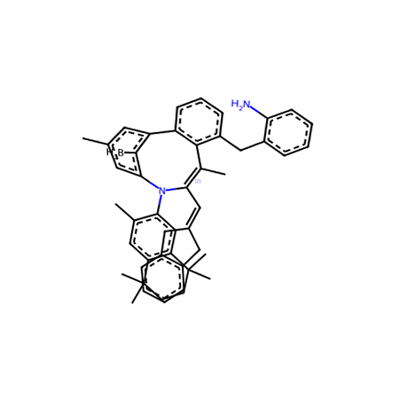 Bc1c2cc(C)cc1N(c1cc3c(cc1C)C(C)(C)CCC3(C)C)/C(C=C1Cc3ccccc3C1)=C(/C)c1c(Cc3ccccc3N)cccc1-2